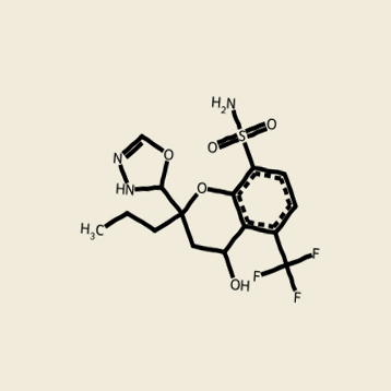 CCCC1(C2NN=CO2)CC(O)c2c(C(F)(F)F)ccc(S(N)(=O)=O)c2O1